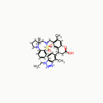 CCn1nnc2c(C)c([C@H](CC(=O)O)c3ccc(C)c(CN4C[C@H]5CCCN5c5ccccc5S4(=O)=O)c3)ccc21